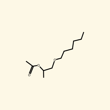 CCCCCCOCC(C)OC(C)=O